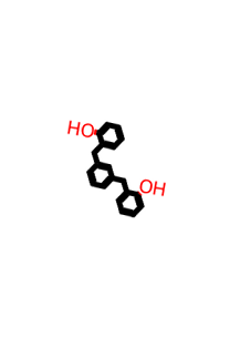 Oc1ccccc1Cc1cccc(Cc2ccccc2O)c1